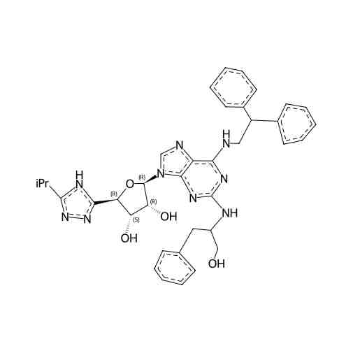 CC(C)c1nnc([C@H]2O[C@@H](n3cnc4c(NCC(c5ccccc5)c5ccccc5)nc(NC(CO)Cc5ccccc5)nc43)[C@H](O)[C@@H]2O)[nH]1